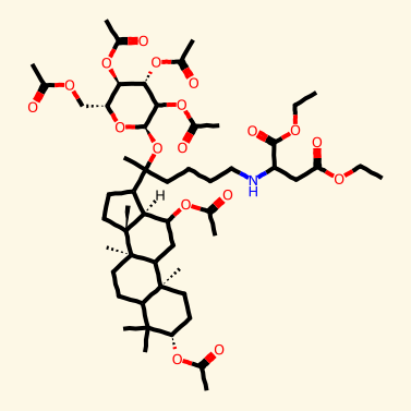 CCOC(=O)CC(NCCCCC(C)(O[C@H]1O[C@H](COC(C)=O)[C@@H](OC(C)=O)[C@H](OC(C)=O)C1OC(C)=O)C1CC[C@]2(C)[C@@H]1C(OC(C)=O)CC1[C@@]3(C)CC[C@H](OC(C)=O)C(C)(C)C3CC[C@]12C)C(=O)OCC